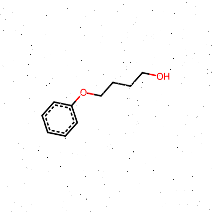 OCCCCOc1c[c]ccc1